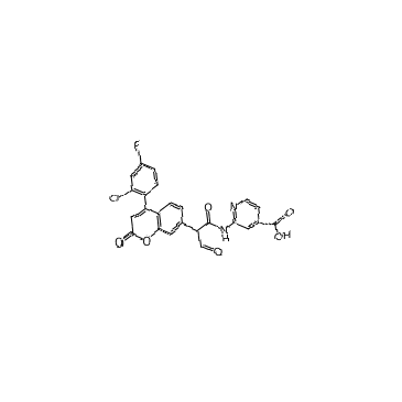 O=CC(C(=O)Nc1cc(C(=O)O)ccn1)c1ccc2c(-c3ccc(F)cc3Cl)cc(=O)oc2c1